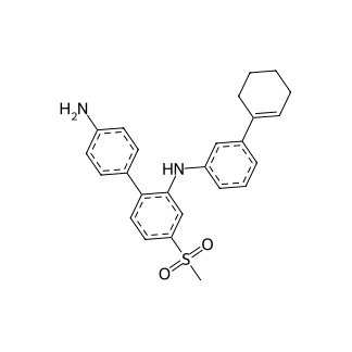 CS(=O)(=O)c1ccc(-c2ccc(N)cc2)c(Nc2cccc(C3=CCCCC3)c2)c1